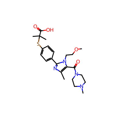 COCCn1c(-c2ccc(SC(C)(C)C(=O)O)cc2)nc(C)c1C(=O)N1CCN(C)CC1